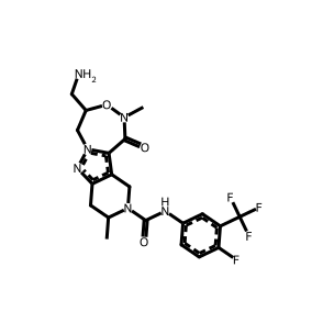 CC1Cc2nn3c(c2CN1C(=O)Nc1ccc(F)c(C(F)(F)F)c1)C(=O)N(C)OC(CN)C3